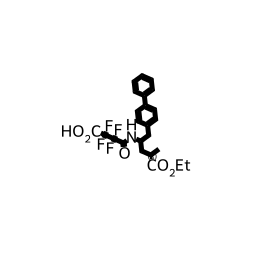 CCOC(=O)[C@H](C)CC(Cc1ccc(-c2ccccc2)cc1)NC(=O)C(F)(F)C(F)(F)C(=O)O